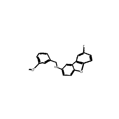 COc1cccc(CNc2ccc3oc4ccc(F)cc4c3c2)c1